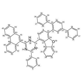 c1ccc(C2=NC(c3ccc(-c4cc(-c5ccccc5)ccc4-c4ccccc4)c4oc5ccccc5c34)NC(c3cc4ccccc4c4ccccc34)=N2)cc1